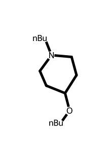 CCCCOC1CCN(CCCC)CC1